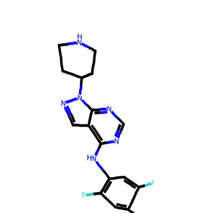 Fc1cc(F)c(Nc2ncnc3c2cnn3C2CCNCC2)cc1F